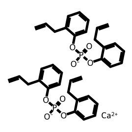 C=CCc1ccccc1OP(=O)([O-])Oc1ccccc1CC=C.C=CCc1ccccc1OP(=O)([O-])Oc1ccccc1CC=C.[Ca+2]